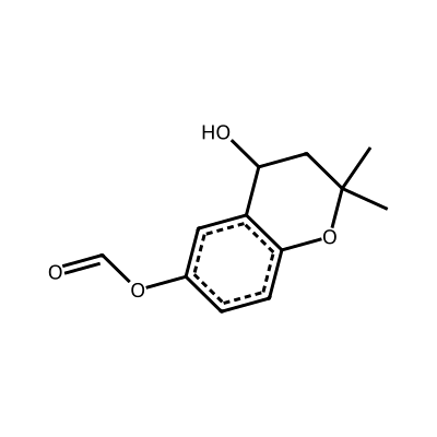 CC1(C)CC(O)c2cc(OC=O)ccc2O1